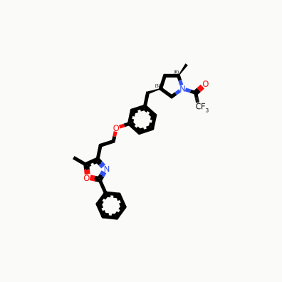 Cc1oc(-c2ccccc2)nc1CCOc1cccc(C[C@H]2C[C@@H](C)N(C(=O)C(F)(F)F)C2)c1